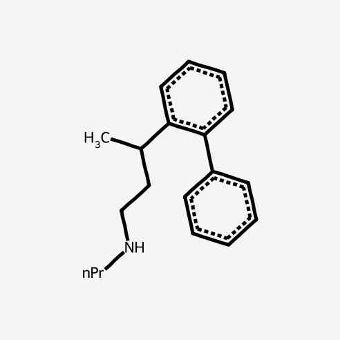 CCCNCCC(C)c1ccccc1-c1ccccc1